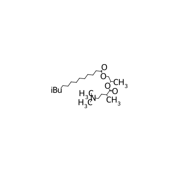 CCC(C)CCCCCCCCCC(=O)OCC(C)OC(=O)C(C)CCN(C)C